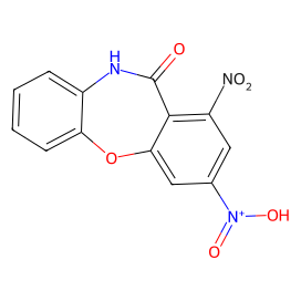 O=C1Nc2ccccc2Oc2cc([N+](=O)O)cc([N+](=O)[O-])c21